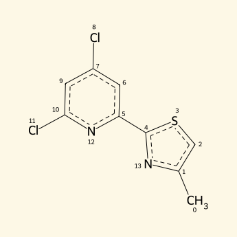 Cc1csc(-c2cc(Cl)cc(Cl)n2)n1